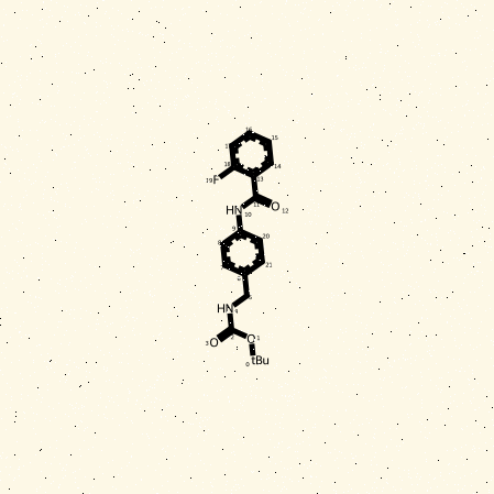 CC(C)(C)OC(=O)NCc1ccc(NC(=O)c2ccccc2F)cc1